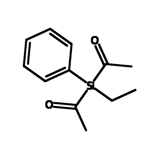 CC[Si](C(C)=O)(C(C)=O)c1ccccc1